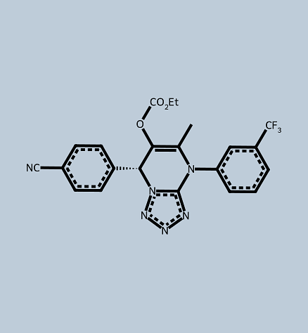 CCOC(=O)OC1=C(C)N(c2cccc(C(F)(F)F)c2)c2nnnn2[C@@H]1c1ccc(C#N)cc1